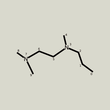 CCCN(C)CCN(C)C